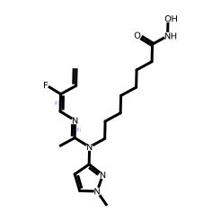 C=C/C(F)=C\N=C(/C)N(CCCCCCCC(=O)NO)c1ccn(C)n1